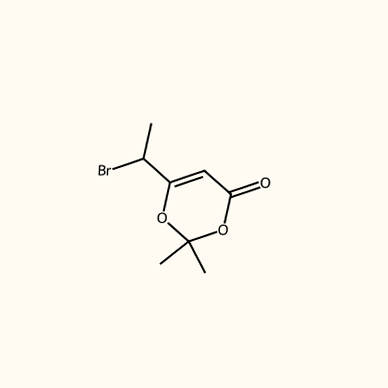 CC(Br)C1=CC(=O)OC(C)(C)O1